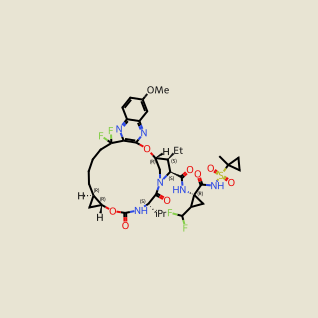 CC[C@@H]1[C@@H]2CN(C(=O)[C@H](C(C)C)NC(=O)O[C@@H]3C[C@H]3CCCCC(F)(F)c3nc4ccc(OC)cc4nc3O2)[C@@H]1C(=O)N[C@]1(C(=O)NS(=O)(=O)C2(C)CC2)CC1C(F)F